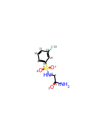 NC(=O)CNS(=O)(=O)c1cccc(F)c1